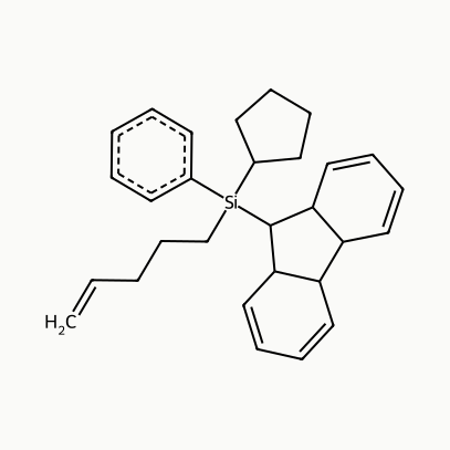 C=CCCC[Si](c1ccccc1)(C1CCCC1)C1C2C=CC=CC2C2C=CC=CC21